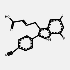 N#Cc1ccc(-c2[nH]c3c(F)cc(F)cc3c2C/C=C/C(=O)O)cc1